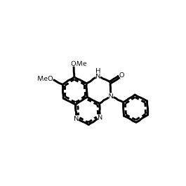 COc1cc2ncnc3c2c(c1OC)NC(=O)N3c1ccccc1